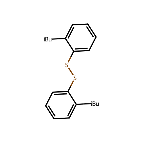 CCC(C)c1ccccc1SSc1ccccc1C(C)CC